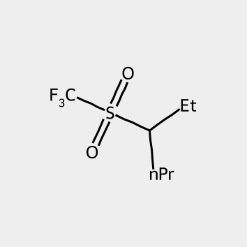 CCCC(CC)S(=O)(=O)C(F)(F)F